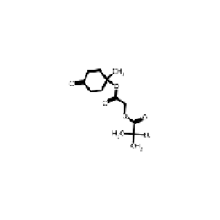 CCC(C)(C)C(=O)OCC(=O)OC1(C)CCC(=O)CC1